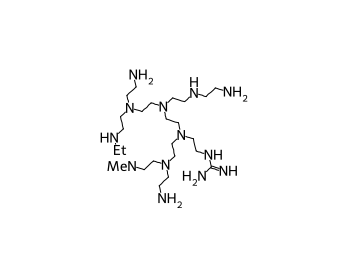 CCNCCN(CCN)CCN(CCNCCN)CCN(CCNC(=N)N)CCN(CCN)CCNC